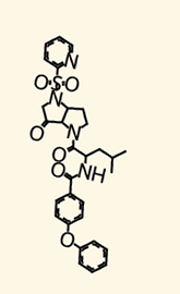 CC(C)CC(NC(=O)c1ccc(Oc2ccccc2)cc1)C(=O)N1CCC2C1C(=O)CN2S(=O)(=O)c1ccccn1